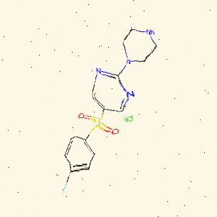 Cl.O=S(=O)(c1ccc(F)cc1)c1cnc(N2CCNCC2)nc1